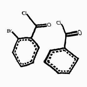 O=C(Cl)c1ccccc1.O=C(Cl)c1ccccc1Br